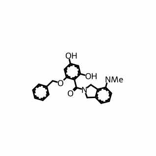 CNc1cccc2c1CN(C(=O)c1c(O)cc(O)cc1OCc1ccccc1)C2